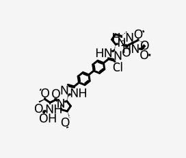 COC[C@H]1C[C@@H](c2ncc(-c3ccc(-c4ccc(-c5[nH]c([C@@H]6CC[C@H](C)N6C(=O)[C@](N)(NC(=O)OC)[C@@H](C)OC)nc5Cl)cc4)cc3)[nH]2)N(C(=O)[C@@H](NC(=O)O)[C@@H](C)OC)C1